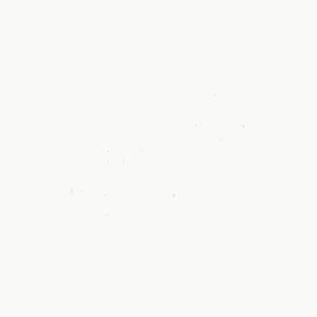 O=C(O)C(O)=CC(=O)c1sccc1Cc1ccccc1